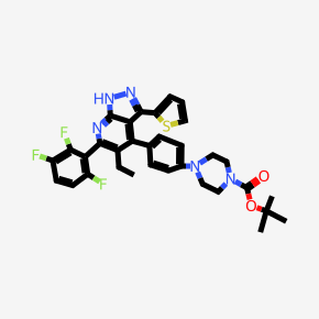 CCc1c(-c2c(F)ccc(F)c2F)nc2[nH]nc(-c3cccs3)c2c1-c1ccc(N2CCN(C(=O)OC(C)(C)C)CC2)cc1